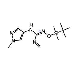 C=N/C(=N\O[Si](C)(C)C(C)(C)C)Nc1cnn(C)c1